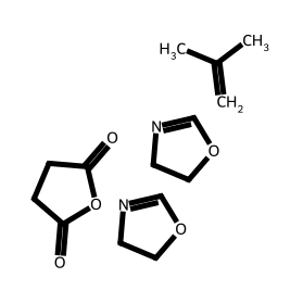 C1=NCCO1.C1=NCCO1.C=C(C)C.O=C1CCC(=O)O1